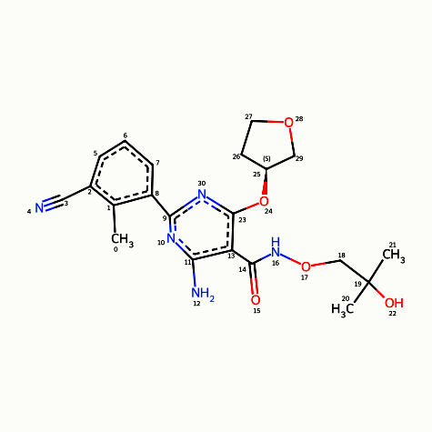 Cc1c(C#N)cccc1-c1nc(N)c(C(=O)NOCC(C)(C)O)c(O[C@H]2CCOC2)n1